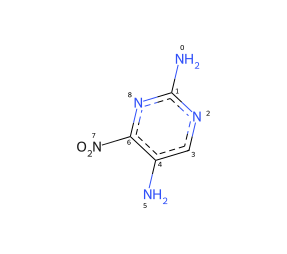 Nc1ncc(N)c([N+](=O)[O-])n1